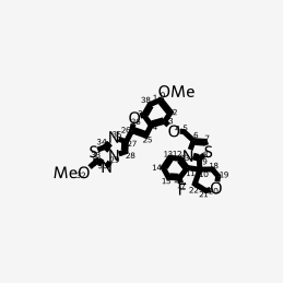 COc1cc(OCc2csc(C3(c4ccccc4F)CCOCC3)n2)c2cc(-c3cn4nc(OC)sc4n3)oc2c1